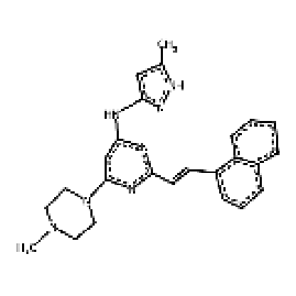 Cc1cc(Nc2cc(N3CCN(C)CC3)nc(/C=C/c3cccc4ccccc34)n2)n[nH]1